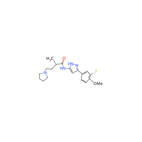 COc1ccc(-c2cc(NC(=O)C(C)CCN3CCCC3)[nH]n2)cc1F